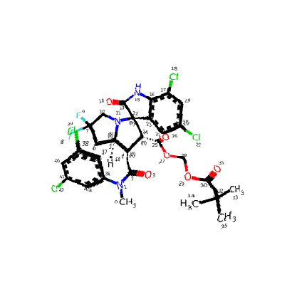 CN(C(=O)[C@H]1[C@H]2CC(F)(F)CN2[C@]2(C(=O)Nc3c(Cl)cc(Cl)cc32)[C@@H]1C(=O)OCOC(=O)C(C)(C)C)c1cc(Cl)cc(Cl)c1